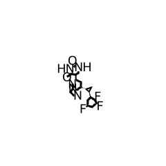 O=c1[nH]cc(-c2cc([C@@H]3C[C@H]3c3cc(F)cc(F)c3F)c3nccn3n2)c(=O)[nH]1